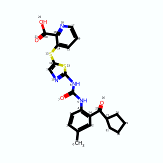 Cc1ccc(NC(=O)Nc2ncc(Sc3cccnc3C(=O)O)s2)c(C(=O)C2CCCC2)c1